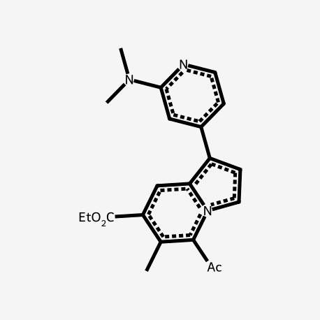 CCOC(=O)c1cc2c(-c3ccnc(N(C)C)c3)ccn2c(C(C)=O)c1C